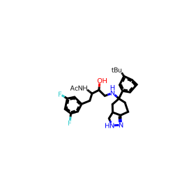 CC(=O)NC(Cc1cc(F)cc(F)c1)C(O)CNC1(c2cccc(C(C)(C)C)c2)CCC2=NNCC2C1